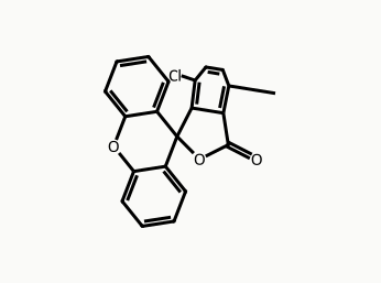 Cc1ccc(Cl)c2c1C(=O)OC21c2ccccc2Oc2ccccc21